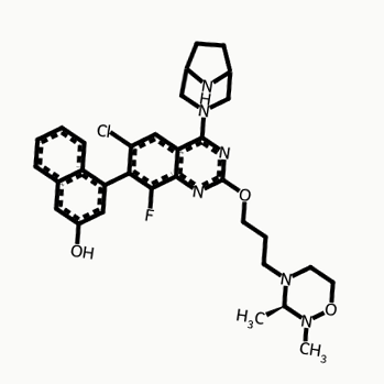 C[C@H]1N(CCCOc2nc(N3CC4CCC(C3)N4)c3cc(Cl)c(-c4cc(O)cc5ccccc45)c(F)c3n2)CCON1C